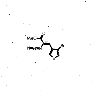 COC(=O)/C(=C/c1cscc1Br)N=[N+]=[N-]